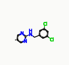 Clc1cc(Cl)cc(CNc2nc[c]cn2)c1